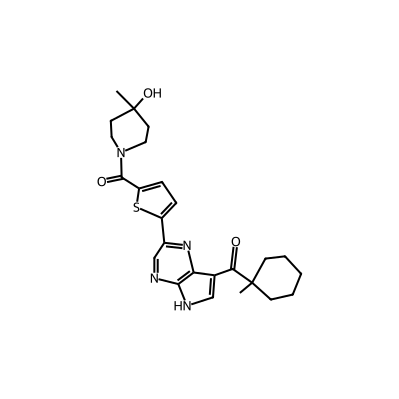 CC1(O)CCN(C(=O)c2ccc(-c3cnc4[nH]cc(C(=O)C5(C)CCCCC5)c4n3)s2)CC1